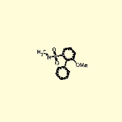 C=NS(=O)(=O)c1cccc(OC)c1-c1ccccc1